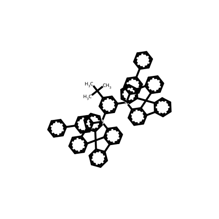 CC(C)(C)c1cc(N(c2ccc(-c3ccccc3)cc2)c2cccc3c2C2(c4ccccc4-c4ccccc42)c2ccccc2-3)cc(N(c2ccc(-c3ccccc3)cc2)c2cccc3c2C2(c4ccccc4-c4ccccc42)c2ccccc2-3)c1